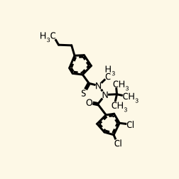 CCCc1ccc(C(=S)N(C)N(C(=O)c2ccc(Cl)c(Cl)c2)C(C)(C)C)cc1